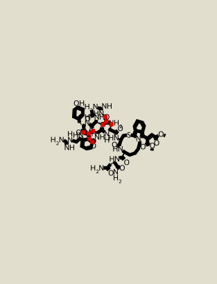 COC(=O)/C=C(\C(=O)OC)c1c2ccccc2c2n1CCCC[C@@H](C(=O)N[C@@H](CC(N)=O)C(N)=O)NC(=O)[C@@H](NC(=O)[C@H](CCCNC(=N)N)NC(=O)[C@H](Cc1c[nH]c3ccccc13)NC(=O)[C@H](CCCNC(=N)N)NC(=O)[C@H](Cc1ccc(O)cc1)NC(=O)[C@H](CC(N)=O)NC(C)=O)CS2